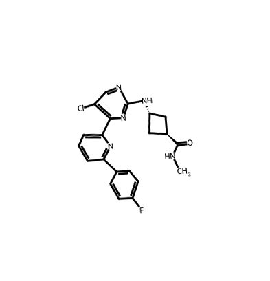 CNC(=O)[C@H]1C[C@H](Nc2ncc(Cl)c(-c3cccc(-c4ccc(F)cc4)n3)n2)C1